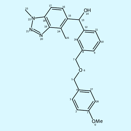 COc1ccc(COCc2cccc(C(O)c3ccc4c(nnn4C)c3C)c2)cc1